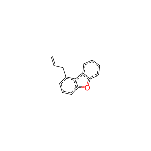 C=CCc1cccc2oc3ccccc3c12